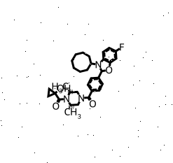 C[C@@H]1CN(C(=O)c2ccc(C3Oc4cc(F)ccc4N3C3CCCCCCC3)cc2)C[C@H](C)N1C(=O)C1(O)CC1